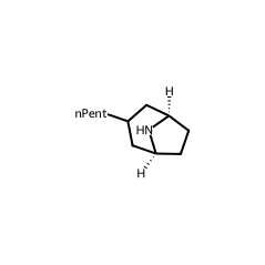 CCCCCC1C[C@H]2CC[C@@H](C1)N2